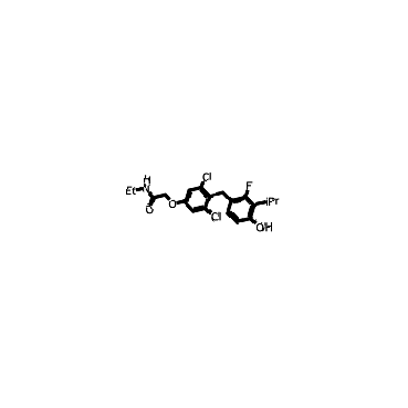 CCNC(=O)COc1cc(Cl)c(Cc2ccc(O)c(C(C)C)c2F)c(Cl)c1